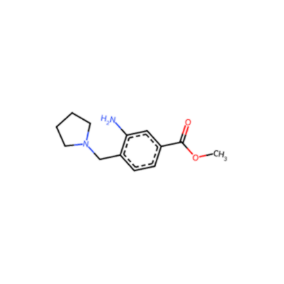 COC(=O)c1ccc(CN2CCCC2)c(N)c1